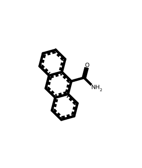 NC(=O)c1c2c[c]ccc2cc2ccccc12